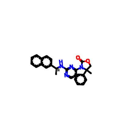 C[C@H](Nc1nccc(N2C(=O)OCC2(C)c2ccccc2)n1)c1ccc2ccccc2c1